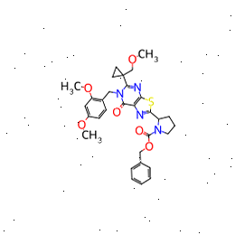 COCC1(c2nc3sc(C4CCCN4C(=O)OCc4ccccc4)nc3c(=O)n2Cc2ccc(OC)cc2OC)CC1